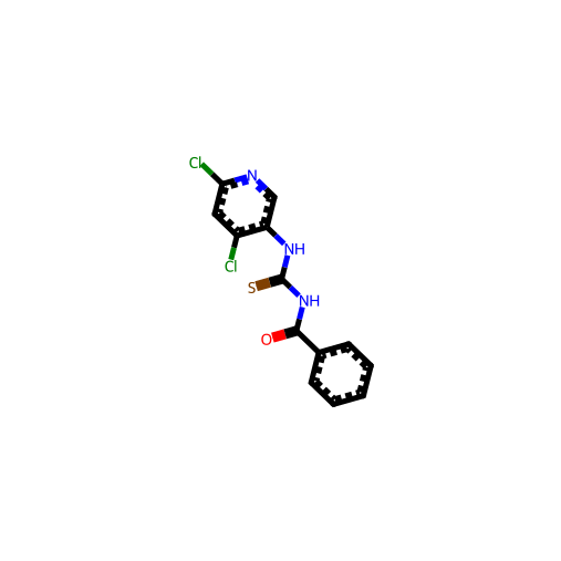 O=C(NC(=S)Nc1cnc(Cl)cc1Cl)c1ccccc1